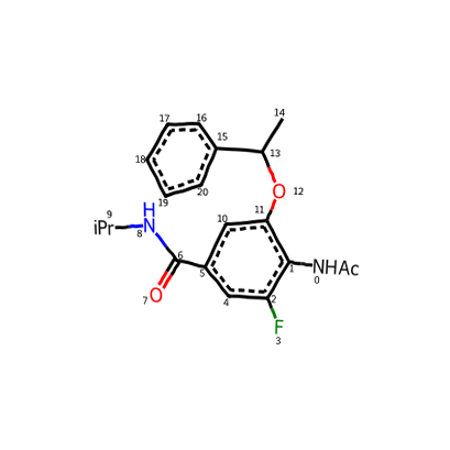 CC(=O)Nc1c(F)cc(C(=O)NC(C)C)cc1OC(C)c1ccccc1